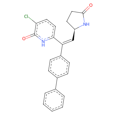 O=C1CC[C@H](/C=C(/c2ccc(-c3ccccc3)cc2)c2ccc(Cl)c(=O)[nH]2)N1